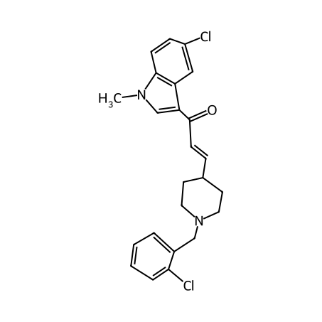 Cn1cc(C(=O)C=CC2CCN(Cc3ccccc3Cl)CC2)c2cc(Cl)ccc21